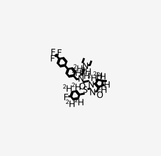 [2H]c1c([2H])c(CSc2nc(=O)c3c(n2CC(=O)N(Cc2ccc(-c4ccc(C(F)(F)F)cc4)cc2)C([2H])([2H])C([2H])([2H])N(CC)CC)C([2H])([2H])C([2H])(C)C3([2H])[2H])c([2H])c([2H])c1F